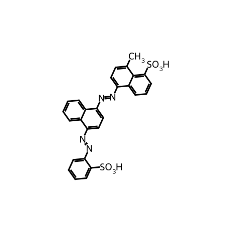 Cc1ccc(N=Nc2ccc(N=Nc3ccccc3S(=O)(=O)O)c3ccccc23)c2cccc(S(=O)(=O)O)c12